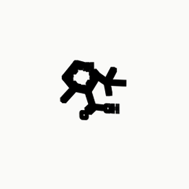 Cc1ccnc(C(C)(C)C)c1C(=O)O